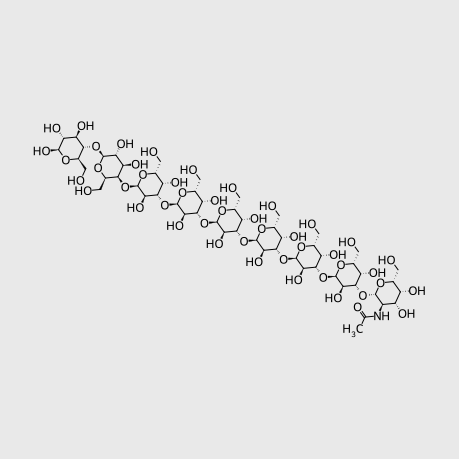 CC(=O)N[C@H]1[C@H](O[C@H]2[C@@H](O)[C@@H](CO)O[C@H](O[C@H]3[C@@H](O)[C@@H](CO)O[C@H](O[C@H]4[C@@H](O)[C@@H](CO)O[C@H](O[C@H]5[C@@H](O)[C@@H](CO)O[C@H](O[C@H]6[C@@H](O)[C@@H](CO)O[C@H](O[C@H]7[C@@H](O)[C@@H](CO)O[C@H](O[C@@H]8[C@H](O)[C@@H](O)[C@H](O[C@H]9[C@H](O)[C@@H](O)[C@H](O)O[C@@H]9CO)O[C@@H]8CO)[C@@H]7O)[C@@H]6O)[C@@H]5O)[C@@H]4O)[C@@H]3O)[C@@H]2O)O[C@H](CO)[C@H](O)[C@@H]1O